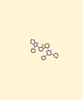 c1ccc(-c2cc(-c3ccccc3)nc(-c3cccc4oc5c(-c6nc7ccccc7n6-c6ccccc6)cccc5c34)n2)cc1